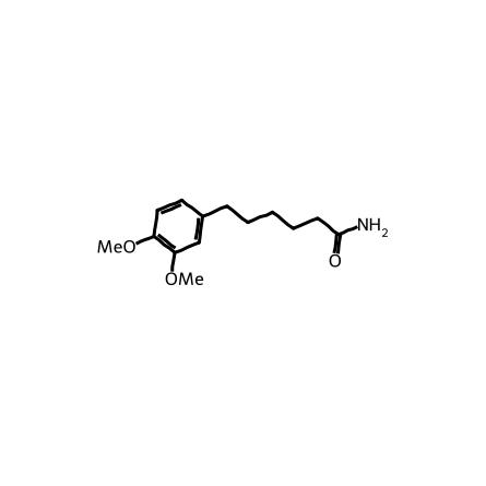 COc1ccc(CCCCCC(N)=O)cc1OC